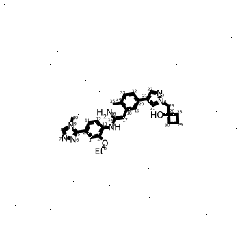 CCOc1cc(-c2nncn2C)ccc1N/C(N)=C/c1cc(-c2cnn(CC3(O)CCC3)c2)ccc1C